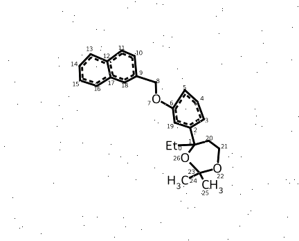 CCC1(c2cccc(OCc3ccc4ccccc4c3)c2)CCOC(C)(C)O1